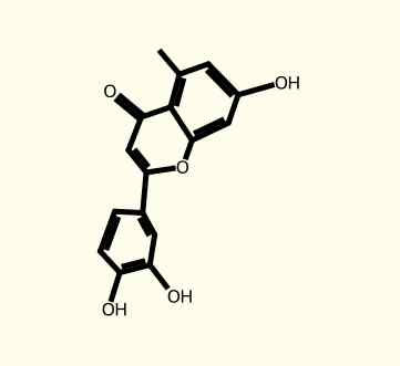 Cc1cc(O)cc2oc(-c3ccc(O)c(O)c3)cc(=O)c12